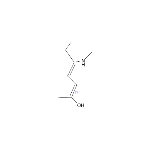 CCC(=C/C=C(\C)O)NC